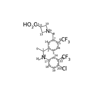 CC(c1ccc(C(F)(F)F)c(CN2CC(C(=O)O)C2)c1)N(C)c1ccc(Cl)c(C(F)(F)F)c1